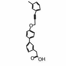 Cc1cccc(C#CCOc2ccc(-c3cccc(CC(=O)O)c3)cc2)c1